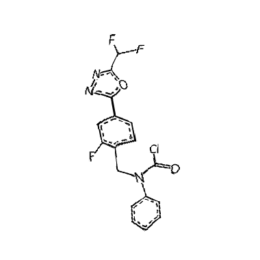 O=C(Cl)N(Cc1ccc(-c2nnc(C(F)F)o2)cc1F)c1ccccc1